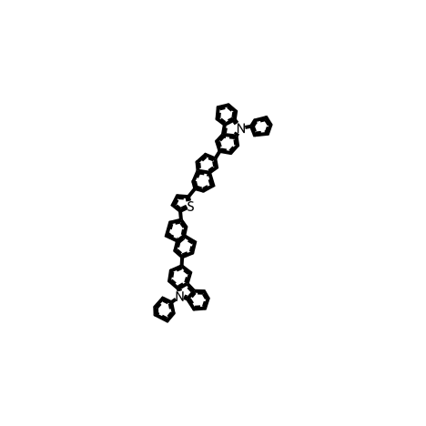 c1ccc(-n2c3ccccc3c3cc(-c4ccc5cc(-c6ccc(-c7ccc8cc(-c9ccc%10c(c9)c9ccccc9n%10-c9ccccc9)ccc8c7)s6)ccc5c4)ccc32)cc1